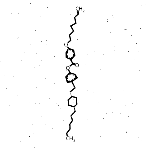 C=CCCCCCCOc1ccc(C(=O)Oc2ccc(CC[C@H]3CC[C@H](CCCCCCC)CC3)cc2)cc1